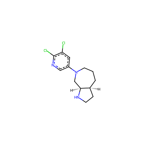 Clc1cc(N2CCC[C@H]3CCN[C@H]3C2)cnc1Cl